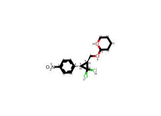 O=[N+]([O-])c1ccc([C@@H]2[C@@H](COC3CCCCO3)C2(Cl)Cl)cc1